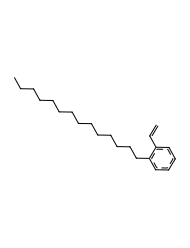 C=Cc1ccccc1CCCCCCCCCCCCCC